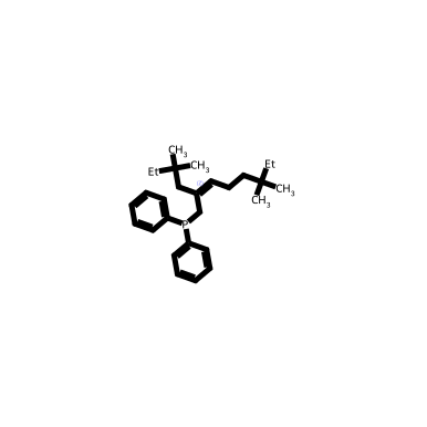 CCC(C)(C)CC/C=C(\CP(c1ccccc1)c1ccccc1)CC(C)(C)CC